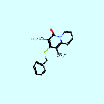 N#Cc1c(SCc2ccccc2)c(C(=O)O)c2ccccn2c1=O.O